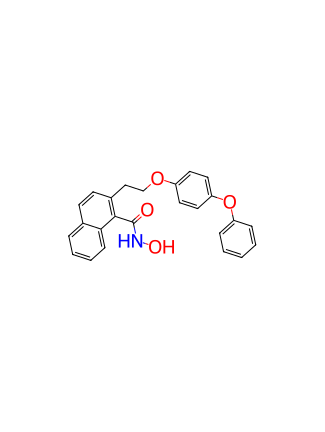 O=C(NO)c1c(CCOc2ccc(Oc3ccccc3)cc2)ccc2ccccc12